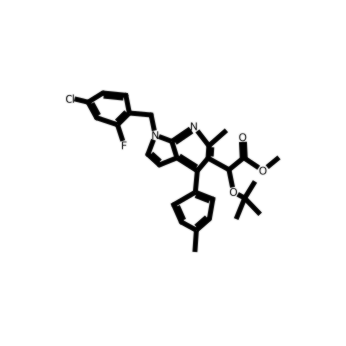 COC(=O)C(OC(C)(C)C)c1c(C)nc2c(ccn2Cc2ccc(Cl)cc2F)c1-c1ccc(C)cc1